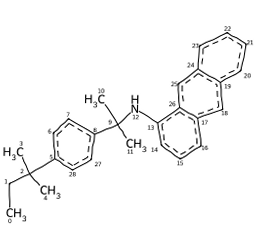 CCC(C)(C)c1ccc(C(C)(C)Nc2cccc3cc4ccccc4cc23)cc1